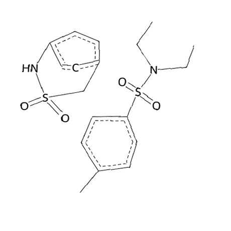 CCN(CC)S(=O)(=O)c1ccc(C)cc1.O=S1(=O)Cc2ccc(cc2)N1